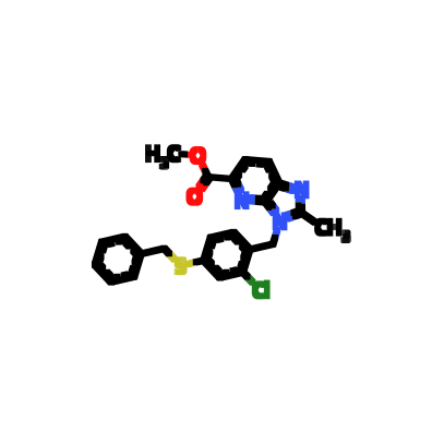 COC(=O)c1ccc2nc(C)n(Cc3ccc(SCc4ccccc4)cc3Cl)c2n1